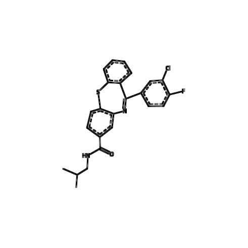 CC(C)CNC(=O)c1ccc2c(c1)N=C(c1ccc(F)c(Cl)c1)c1ccccc1S2